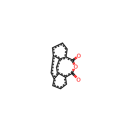 O=c1oc(=O)c2cccc3cc4cccc1c4cc32